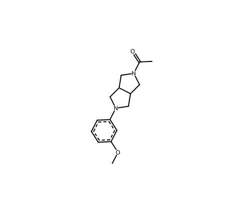 COc1cccc(N2CC3CN(C(C)=O)CC3C2)c1